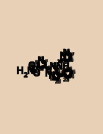 NS(=O)(=O)c1cncc(-c2nc(NCc3cccnn3)c3c(-c4ccccc4)ccn3n2)c1